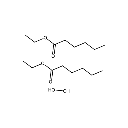 CCCCCC(=O)OCC.CCCCCC(=O)OCC.OO